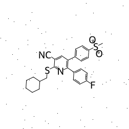 CS(=O)(=O)c1ccc(-c2cc(C#N)c(SCC3CCCCC3)nc2-c2ccc(F)cc2)cc1